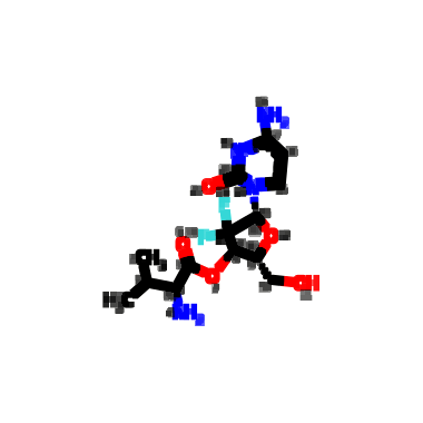 CC(C)[C@H](N)C(=O)O[C@@H]1[C@@H](CO)O[C@@H](n2ccc(N)nc2=O)C1(F)F